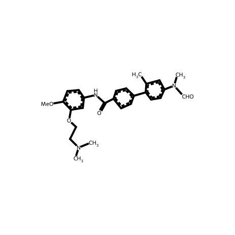 COc1ccc(NC(=O)c2ccc(-c3ccc(N(C)C=O)cc3C)cc2)cc1OCCN(C)C